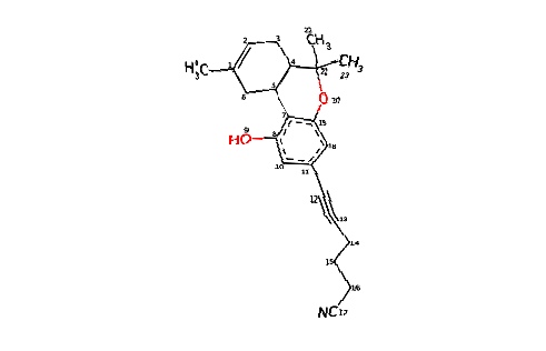 CC1=CCC2C(C1)c1c(O)cc(C#CCCCC#N)cc1OC2(C)C